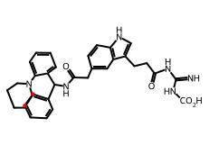 N=C(NC(=O)O)NC(=O)CCc1c[nH]c2ccc(CC(=O)NC(c3ccccc3)c3ccccc3N3CCCCC3)cc12